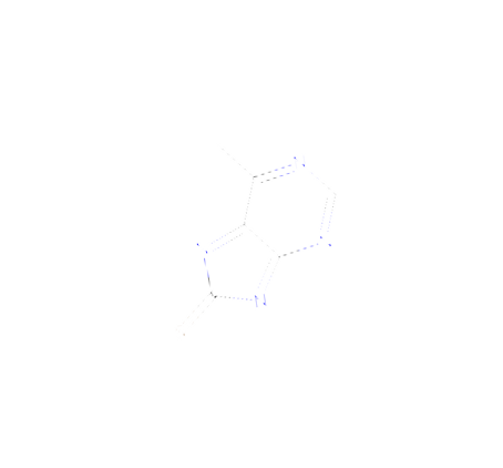 Cc1ncnc2c1=NC(=S)N=2